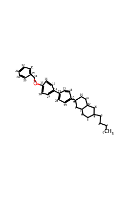 CCCCC1CCC2CC(c3ccc(-c4ccc(OCc5ccccc5)cc4)cc3)CCC2C1